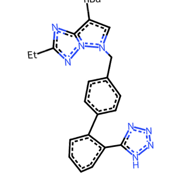 CCCCc1cn(Cc2ccc(-c3ccccc3-c3nnn[nH]3)cc2)n2nc(CC)nc12